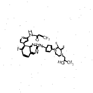 C=CC(=O)Nc1cc(-c2c(F)ccc3cnc(Nc4ccc(N5CCN(CC(C)O)C(F)C5F)cc4)nc23)ccn1